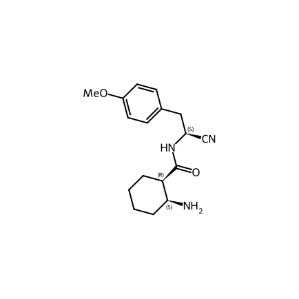 COc1ccc(C[C@@H](C#N)NC(=O)[C@@H]2CCCC[C@@H]2N)cc1